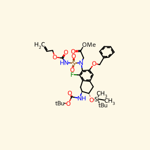 C=CCOC(=O)NS(=O)(=O)N(CC(=O)OC)c1c(OCc2ccccc2)cc2c(c1F)C[C@H](NC(=O)OC(C)(C)C)[C@@H](O[Si](C)(C)C(C)(C)C)C2